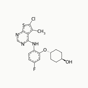 Cc1c(Cl)sc2ncnc(Nc3ccc(F)cc3O[C@H]3CC[C@H](O)CC3)c12